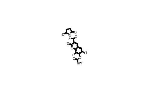 CCCC(=O)Oc1c(Cl)cc2cc(C(=O)ON3C(=O)CCC3=O)c(=O)oc2c1F